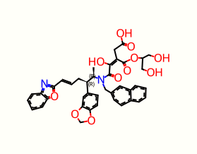 C[C@H]([C@H](CC=Cc1nc2ccccc2o1)c1ccc2c(c1)OCO2)N(Cc1ccc2ccccc2c1)C(=O)C(O)=C(CC(=O)O)C(=O)OC(CO)CO